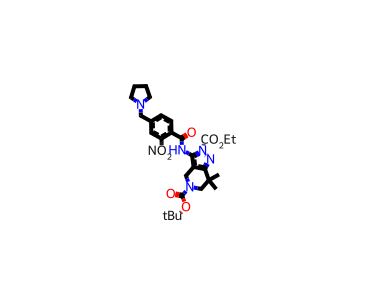 CCOC(=O)n1nc2c(c1NC(=O)c1ccc(CN3CCCC3)cc1[N+](=O)[O-])CN(C(=O)OC(C)(C)C)CC2(C)C